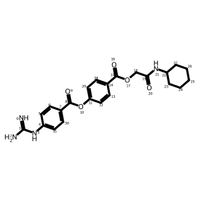 N=C(N)Nc1ccc(C(=O)Oc2ccc(C(=O)OCC(=O)NC3CCCCC3)cc2)cc1